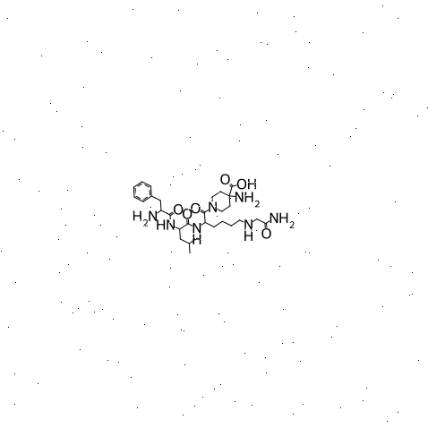 CC(C)CC(NC(=O)C(N)Cc1ccccc1)C(=O)NC(CCCCNCC(N)=O)C(=O)N1CCC(N)(C(=O)O)CC1